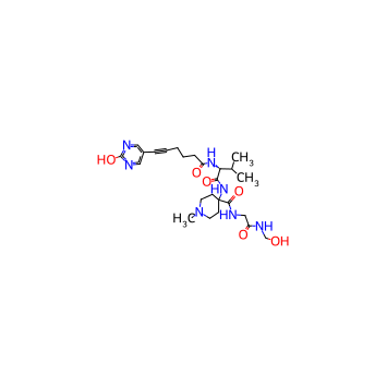 CC(C)[C@H](NC(=O)CCCC#Cc1cnc(O)nc1)C(=O)NC1(C(=O)NCC(=O)NCO)CCN(C)CC1